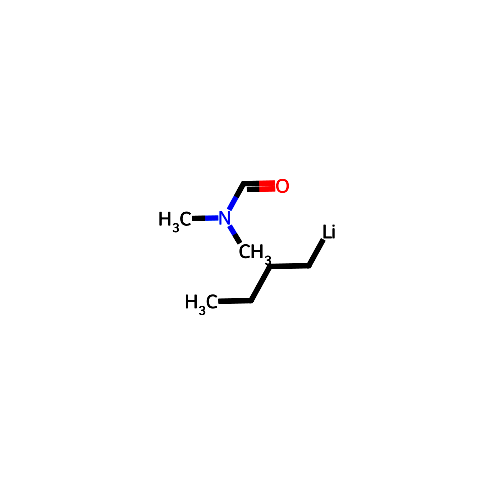 CN(C)C=O.[Li][CH2]CCC